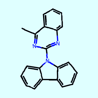 Cc1nc(-n2c3ccccc3c3ccccc32)nc2ccccc12